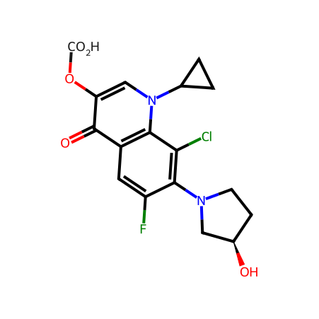 O=C(O)Oc1cn(C2CC2)c2c(Cl)c(N3CC[C@@H](O)C3)c(F)cc2c1=O